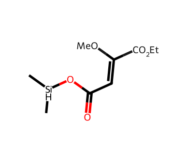 CCOC(=O)/C(=C/C(=O)O[SiH](C)C)OC